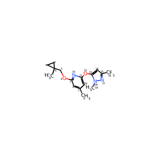 Cc1cc(OCC2(C)CC2)nc(Oc2cc(C(F)(F)F)nn2C)c1